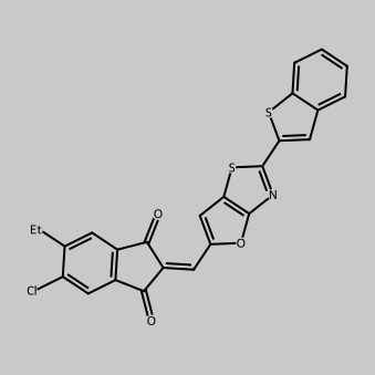 CCc1cc2c(cc1Cl)C(=O)/C(=C/c1cc3sc(-c4cc5ccccc5s4)nc3o1)C2=O